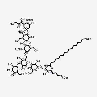 CCCCCCCCCCCCC/C=C/[C@@H](O)[C@H](CO[C@@H]1OC(CO)[C@@H](O[C@@H]2OC(CO[C@@H]3OC(CO)[C@@H](O[C@@H]4OC(CO)[C@H](O)[C@H](O[C@]5(C(=O)O)CC(O)[C@@H](NC(C)=O)C([C@H](O)[C@H](O)CO)O5)C4O)[C@H](O)C3NC(C)=O)[C@H](O)[C@H](O[C@H]3OC(CO)[C@H](O)[C@H](O)C3O)C2O)[C@H](O)C1O)NC(=O)CCCCCCCCCCCCCCCCCCCCCCCCC